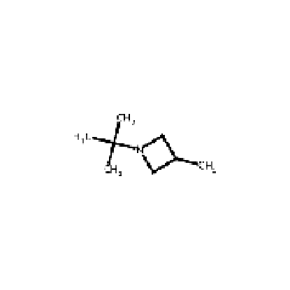 CC1CN(C(C)(C)C)C1